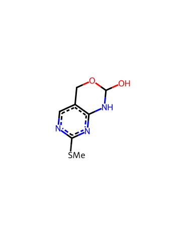 CSc1ncc2c(n1)NC(O)OC2